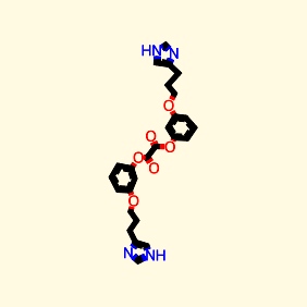 O=C(Oc1cccc(OCCCc2c[nH]cn2)c1)C(=O)Oc1cccc(OCCCc2c[nH]cn2)c1